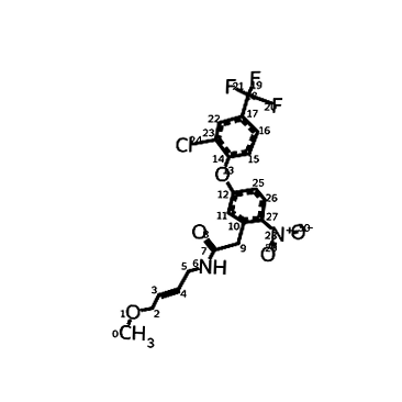 COCC=CCNC(=O)Cc1cc(Oc2ccc(C(F)(F)F)cc2Cl)ccc1[N+](=O)[O-]